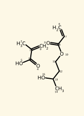 C=C(C)C(=O)O.C=CC(=O)OCCC(C)O